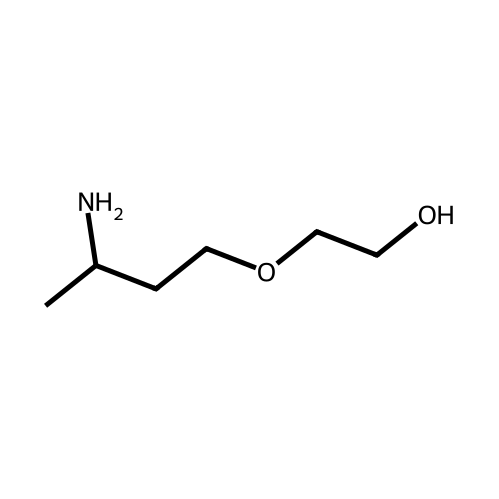 CC(N)CCOCCO